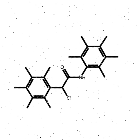 Cc1c(C)c(C)c(NC(=O)C(Cl)c2c(C)c(C)c(C)c(C)c2C)c(C)c1C